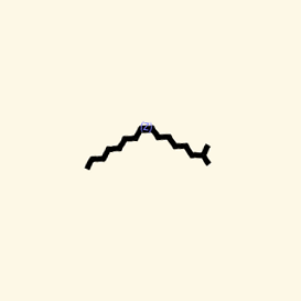 CCCCCCC/C=C\CCCCCC(C)C